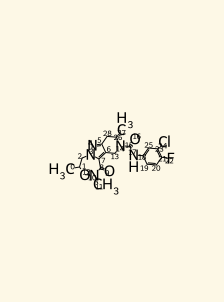 CC1Cn2nc3c(c2C(=O)N(C)O1)CN(C(=O)Nc1ccc(F)c(Cl)c1)[C@H](C)C3